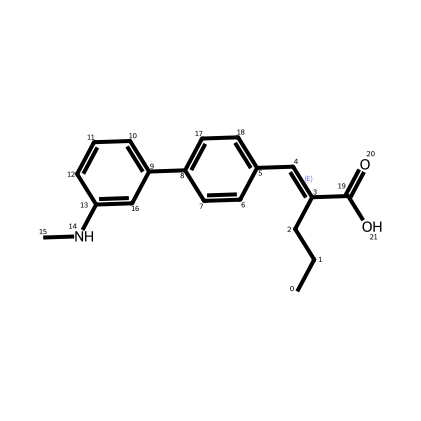 CCC/C(=C\c1ccc(-c2cccc(NC)c2)cc1)C(=O)O